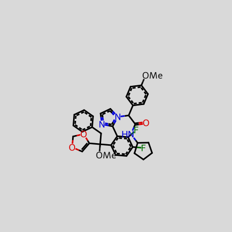 COc1ccc(C(C(=O)NC2CCCC2)n2ccnc2-c2c(C(Cc3ccccc3)(OC)C3=COCO3)ccc(F)c2F)cc1